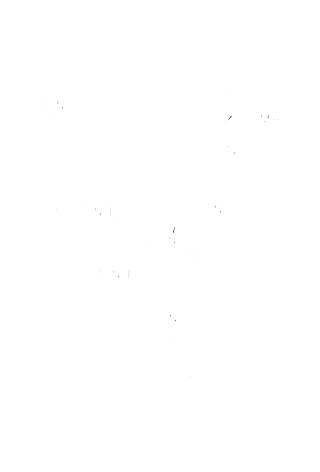 COC(=O)[C@@H]1Cc2ccc(OCC(N)=O)c(c2)-c2cc(ccc2OCC(N)=O)[C@H](N(C)C(=O)[C@H](CCNC(=O)OC(C)(C)C)NC(C)=O)C(=O)N[C@@H](C)C(=O)N1